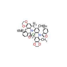 Cc1cc(N(c2c(C)cc3c(c2C)OCCO3)c2coc3ccc(C(C)(C)C)cc23)c(Cl)c(N(c2c(C)cc3c(c2C)OCCO3)c2coc3ccc(C(C)(C)C)cc23)c1